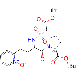 CC(C)OC(=O)CS(=O)(=O)NC(CCc1cccc[n+]1[O-])C(=O)N1CCC[C@H]1C(=O)OC(C)(C)C